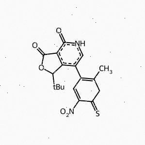 CC1=C(c2c[nH]c(=O)c3c2C(C(C)(C)C)OC3=O)C=C([N+](=O)[O-])C(=S)C1